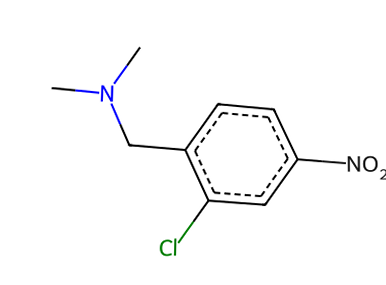 CN(C)Cc1ccc([N+](=O)[O-])cc1Cl